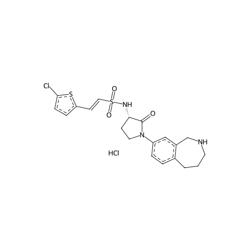 Cl.O=C1[C@@H](NS(=O)(=O)C=Cc2ccc(Cl)s2)CCN1c1ccc2c(c1)CNCCC2